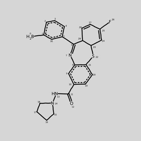 Bc1cccc(C2=Nc3cc(C(=O)NN4CCCC4)ccc3SC3C=C(F)C=CC23)c1